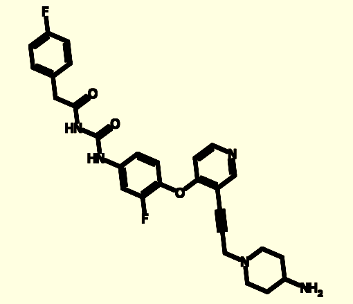 NC1CCN(CC#Cc2cnccc2Oc2ccc(NC(=O)NC(=O)Cc3ccc(F)cc3)cc2F)CC1